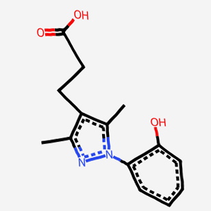 Cc1nn(-c2ccccc2O)c(C)c1CCC(=O)O